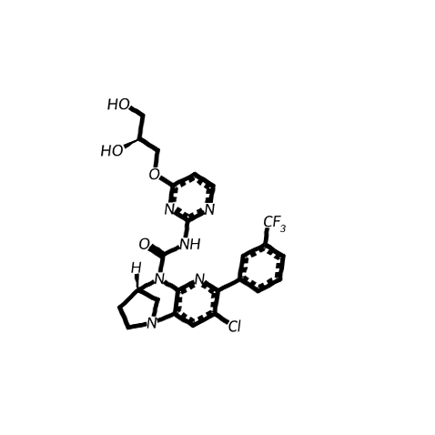 O=C(Nc1nccc(OC[C@@H](O)CO)n1)N1c2nc(-c3cccc(C(F)(F)F)c3)c(Cl)cc2N2CC[C@H]1C2